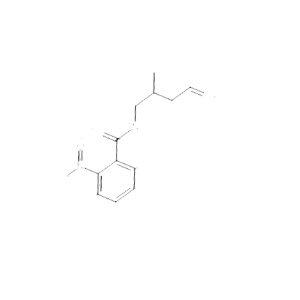 CC(CC=O)CNC(=O)c1ccccc1[N+](=O)[O-]